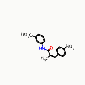 CC(=Cc1ccc([N+](=O)[O-])cc1)C(=O)Nc1cccc(C(=O)O)c1